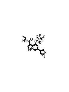 CCNC(=O)c1cnn2cc(-c3cnn(C)c3)cc(OS(=O)(=O)C(F)(F)F)c12